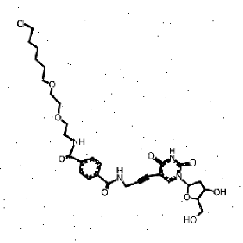 O=C(NCC#Cc1cn([C@H]2CC(O)C(CO)O2)c(=O)[nH]c1=O)c1ccc(C(=O)NCCOCCOCCCCCCCl)cc1